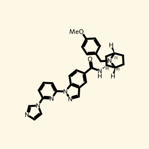 COc1ccc(CN2[C@H]3CC[C@@H]2[C@H](NC(=O)c2ccc4c(cnn4-c4cccc(-n5ccnc5)n4)c2)C3)cc1